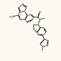 CN(C(=O)c1ccc2nc(N)c3cncn3c2c1)[C@@H]1COc2cc(-c3cnn(C)c3)ccc21